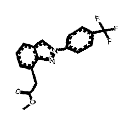 COC(=O)Cc1cccc2cn(-c3ccc(C(F)(F)F)cc3)nc12